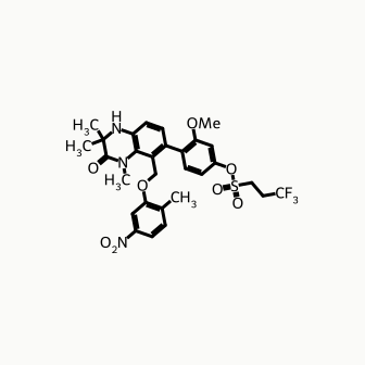 COc1cc(OS(=O)(=O)CCC(F)(F)F)ccc1-c1ccc2c(c1COc1cc([N+](=O)[O-])ccc1C)N(C)C(=O)C(C)(C)N2